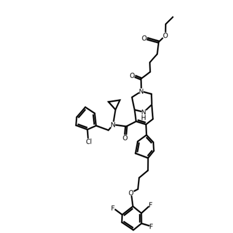 CCOC(=O)CCCC(=O)N1CC2CC(c3ccc(CCCOc4c(F)ccc(F)c4F)cc3)=C(C(=O)N(Cc3ccccc3Cl)C3CC3)C(C1)N2